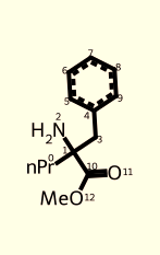 CCCC(N)(Cc1ccccc1)C(=O)OC